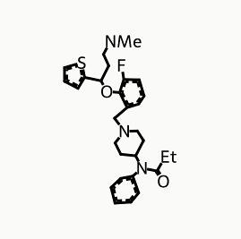 CCC(=O)N(c1ccccc1)C1CCN(Cc2cccc(F)c2OC(CCNC)c2cccs2)CC1